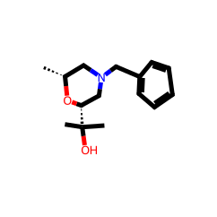 C[C@@H]1CN(Cc2ccccc2)C[C@H](C(C)(C)O)O1